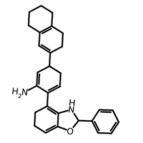 NC1=CC(C2=CC3=C(CCCC3)CC2)CC=C1C1=C2NC(c3ccccc3)OC2=CCC1